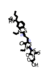 CCCC(NOC)c1ccc2c(c1)N(CC)/C(=C/C=c1/s/c(=C3\SC(=S)N(CC(=O)O)C3=O)n(CC)c1=O)S2